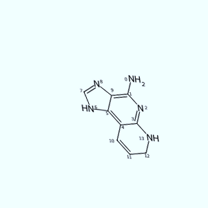 Nc1nc2c(c3[nH]cnc13)C=CCN2